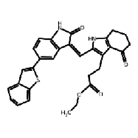 CCOC(=O)CCc1c(C=C2C(=O)Nc3ccc(-c4cc5ccccc5s4)cc32)[nH]c2c1C(=O)CCC2